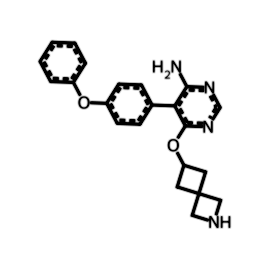 Nc1ncnc(OC2CC3(CNC3)C2)c1-c1ccc(Oc2ccccc2)cc1